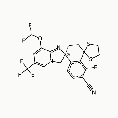 N#Cc1ccc2c(c1F)C1(CC[C@@]23CN2C=C(C(F)(F)F)C=C(OC(F)F)C2=N3)SCCS1